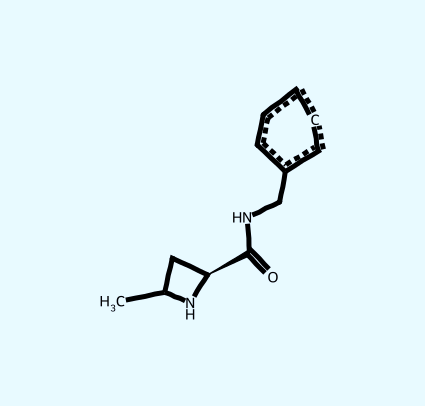 CC1C[C@@H](C(=O)NCc2ccccc2)N1